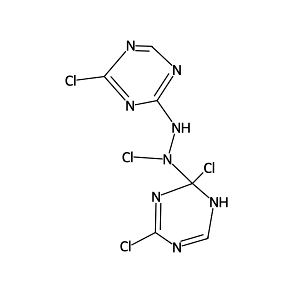 ClC1=NC(Cl)(N(Cl)Nc2ncnc(Cl)n2)NC=N1